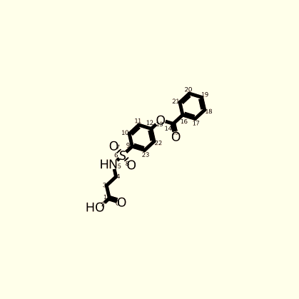 O=C(O)CCNS(=O)(=O)c1ccc(OC(=O)c2ccccc2)cc1